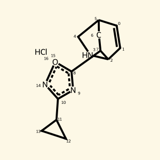 C1=CC2NCC1CC2c1nc(C2CC2)no1.Cl